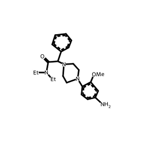 CCN(CC)C(=O)C(c1ccccc1)N1CCN(c2ccc(N)cc2OC)CC1